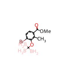 BC(B)(B)Oc1c(Br)ccc(C(=O)OC)c1C